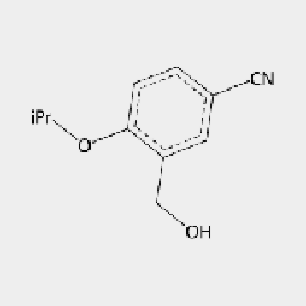 CC(C)Oc1ccc(C#N)cc1CO